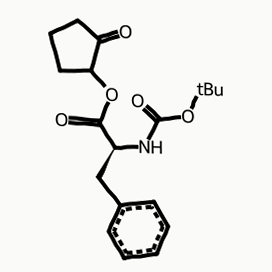 CC(C)(C)OC(=O)N[C@@H](Cc1ccccc1)C(=O)OC1CCCC1=O